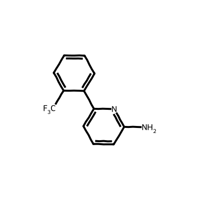 Nc1cccc(-c2ccccc2C(F)(F)F)n1